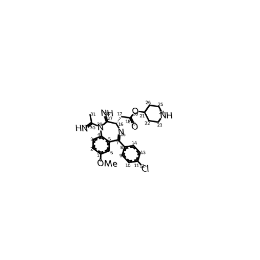 COc1ccc2c(c1)C(c1ccc(Cl)cc1)=N[C@@H](CC(=O)OC1CCNCC1)C(=N)N2C(C)=N